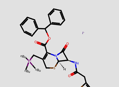 CCCC[P+](CCCC)(CCCC)CC1=C(C(=O)OC(c2ccccc2)c2ccccc2)N2C(=O)[C@@H](NC(=O)Cc3cccs3)[C@H]2SC1.[I-]